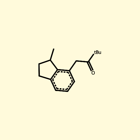 CC1CCc2cccc(CC(=O)C(C)(C)C)c21